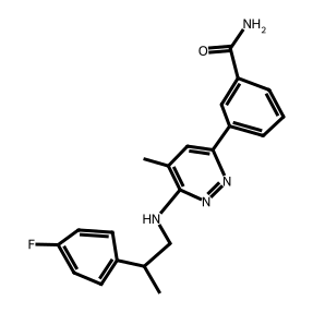 Cc1cc(-c2cccc(C(N)=O)c2)nnc1NCC(C)c1ccc(F)cc1